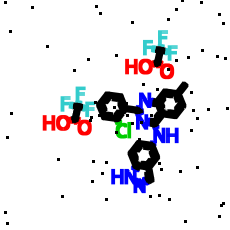 Cc1ccc2c(Nc3ccc4[nH]ncc4c3)nc(-c3ccccc3Cl)nc2c1.O=C(O)C(F)(F)F.O=C(O)C(F)(F)F